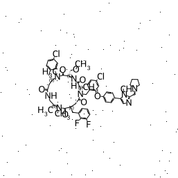 COC[C@@H]1NC(=O)[C@H](C)N(Cc2ccc(Cl)cc2Oc2ccc(-c3cnc(CN4CCCC4)n3C)cc2)C(=O)C[C@@H](Cc2cccc(F)c2F)C(=O)N(C)[C@@H](C)CNC(=O)C[C@H](Cc2ccc(Cl)cc2)N(C)C1=O